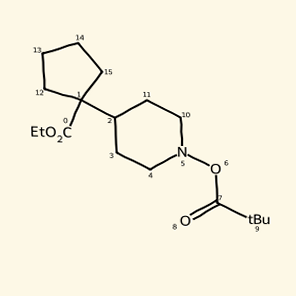 CCOC(=O)C1(C2CCN(OC(=O)C(C)(C)C)CC2)CCCC1